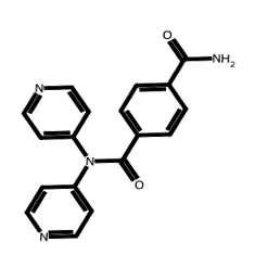 NC(=O)c1ccc(C(=O)N(c2ccncc2)c2ccncc2)cc1